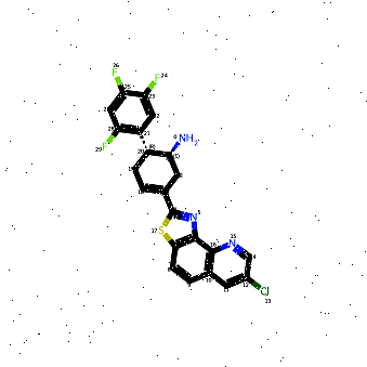 N[C@H]1CC(c2nc3c(ccc4cc(Cl)cnc43)s2)=CC[C@@H]1c1cc(F)c(F)cc1F